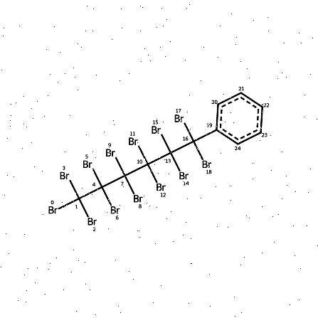 BrC(Br)(Br)C(Br)(Br)C(Br)(Br)C(Br)(Br)C(Br)(Br)C(Br)(Br)c1cc[c]cc1